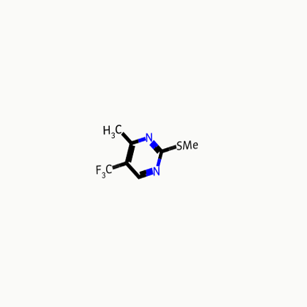 CSc1ncc(C(F)(F)F)c(C)n1